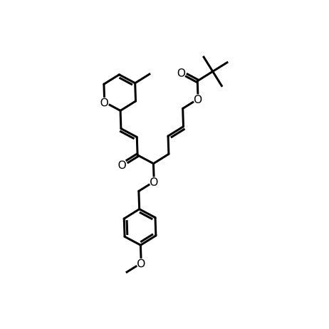 COc1ccc(COC(CC=CCOC(=O)C(C)(C)C)C(=O)C=CC2CC(C)=CCO2)cc1